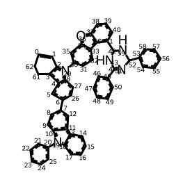 C1=Cc2c(c3cc(-c4ccc5c(c4)c4ccccc4n5-c4ccccc4)ccc3n2-c2ccc3c(c2)oc2cccc(C4NC(c5ccccc5)=NC(c5ccccc5)N4)c23)CC1